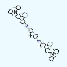 Cc1ccccc1N(c1ccc2c(c1)C1(CCCCC1)c1cc(/C=C/c3ccc4c(c3)C(C)(C)c3cc(/C=C/c5ccc6c(c5)C5(CCCCC5)c5cc(N(c7ccccc7C)c7ccccc7C)ccc5-6)ccc3-4)ccc1-2)c1ccccc1C